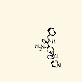 NC1=C(C(=O)NCc2ccccc2)CCN(S(=O)(=O)c2cccnc2)C1